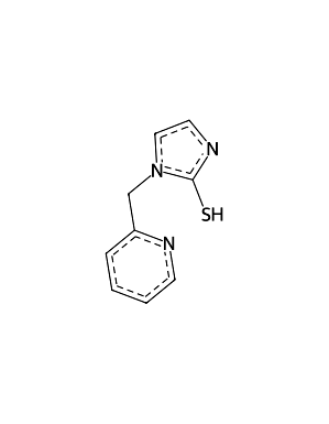 Sc1nccn1Cc1ccccn1